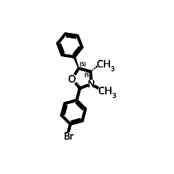 C[C@H]1[C@H](c2ccccc2)OC(c2ccc(Br)cc2)N1C